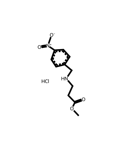 COC(=O)CCNCc1ccc([N+](=O)[O-])cc1.Cl